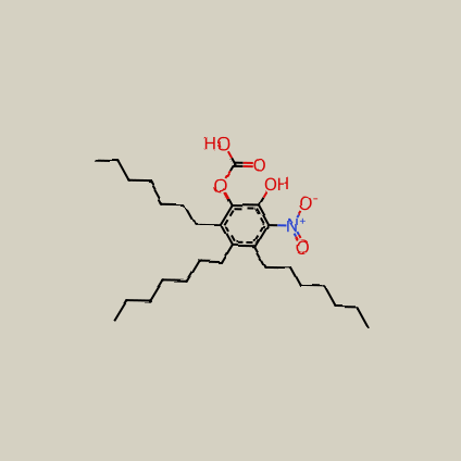 CCCCCCCc1c(CCCCCCC)c(OC(=O)O)c(O)c([N+](=O)[O-])c1CCCCCCC